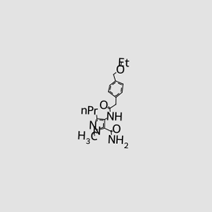 CCCc1nn(C)c(C(N)=O)c1NC(=O)Cc1ccc(COCC)cc1